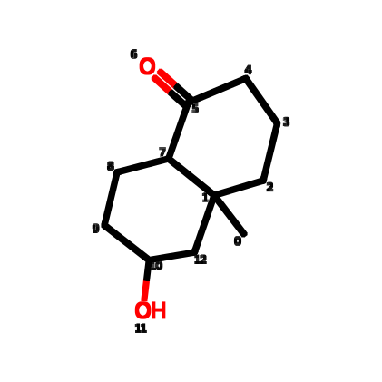 CC12CCCC(=O)C1CCC(O)C2